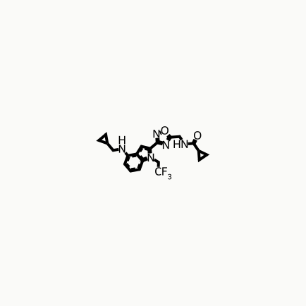 O=C(NCc1nc(-c2cc3c(NCC4CC4)cccc3n2CC(F)(F)F)no1)C1CC1